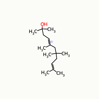 CC(C)=CCC(C)(C)C/C(C)=C/CC(C)(C)O